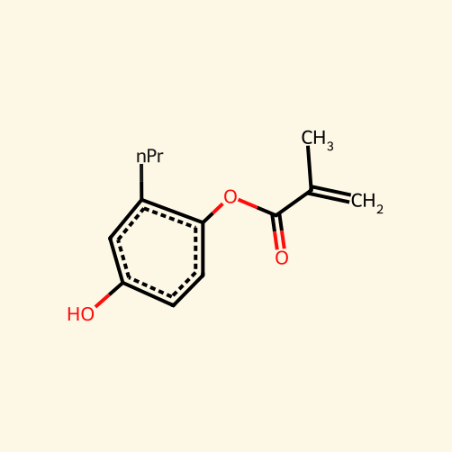 C=C(C)C(=O)Oc1ccc(O)cc1CCC